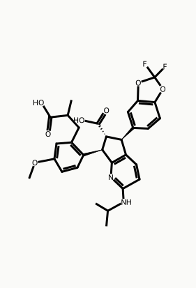 COc1ccc([C@@H]2c3nc(NC(C)C)ccc3[C@H](c3ccc4c(c3)OC(F)(F)O4)[C@H]2C(=O)O)c(CC(C)C(=O)O)c1